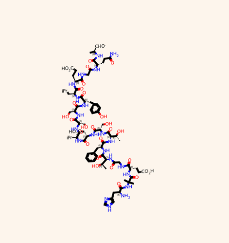 CC(C)C[C@H](NC(=O)[C@H](Cc1ccc(O)cc1)NC(=O)[C@H](CO)NC(=O)[C@H](CO)NC(=O)[C@@H](NC(=O)[C@H](CC(=O)O)NC(=O)[C@H](CO)NC(=O)[C@@H](NC(=O)[C@H](Cc1ccccc1)NC(=O)[C@@H](NC(=O)CNC(=O)[C@H](CCC(=O)O)NC(=O)C(C)(C)NC(=O)[C@@H](N)Cc1c[nH]cn1)[C@@H](C)O)[C@@H](C)O)C(C)C)C(=O)N[C@@H](CCC(=O)O)C(=O)NCC(=O)N[C@@H](CCC(N)=O)C(=O)N[C@@H](C)[C]=O